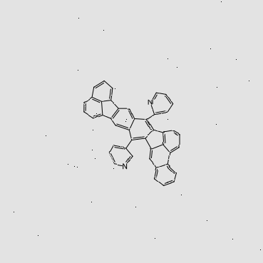 c1ccc(-c2c3cc4c(cc3c(-c3cccnc3)c3c5cc6ccccc6c6cccc(c23)c65)c2cccc3cccc4c32)nc1